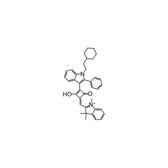 C[N+]1=C(/C=C2\C(=O)C(c3c(-c4ccccc4)n(CCC4CCCCC4)c4ccccc34)=C2O)C(C)(C)c2ccccc21